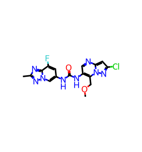 COCc1c(NC(=O)Nc2cc(F)c3nc(C)nn3c2)cnc2cc(Cl)nn12